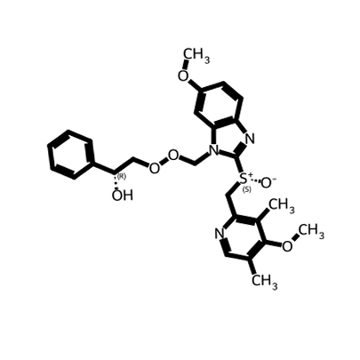 COc1ccc2nc([S@+]([O-])Cc3ncc(C)c(OC)c3C)n(COOC[C@H](O)c3ccccc3)c2c1